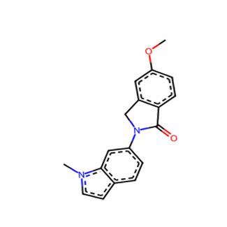 COc1ccc2c(c1)CN(c1ccc3ccn(C)c3c1)C2=O